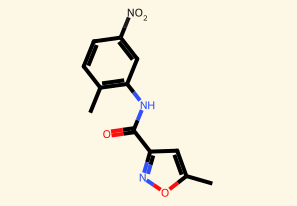 Cc1cc(C(=O)Nc2cc([N+](=O)[O-])ccc2C)no1